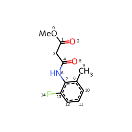 COC(=O)CC(=O)Nc1c(C)cccc1F